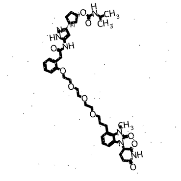 CC(C)NC(=O)O[C@H]1CC[C@@H](c2cc(NC(=O)Cc3ccccc3OCCOCCOCCOCCCc3cccc4c3n(C)c(=O)n4C3CCC(=O)NC3=O)[nH]n2)C1